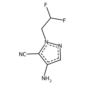 N#Cc1c(N)cnn1CC(F)F